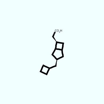 O=C(O)C[C@H]1CC2C[C@@H](CC3CCC3)CC21